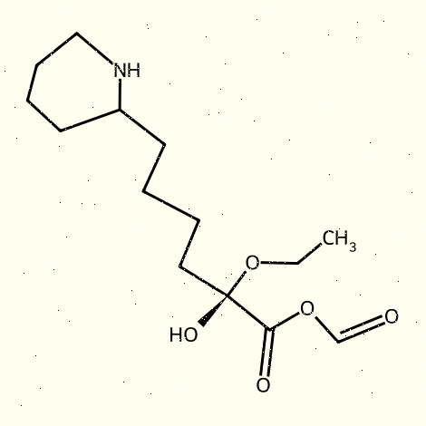 CCO[C@@](O)(CCCCC1CCCCN1)C(=O)OC=O